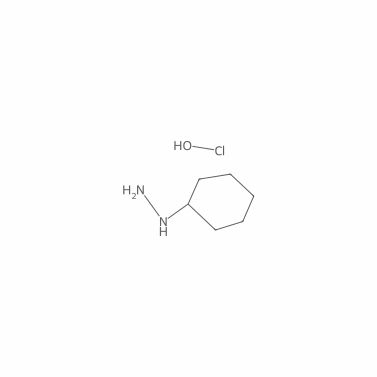 NNC1CCCCC1.OCl